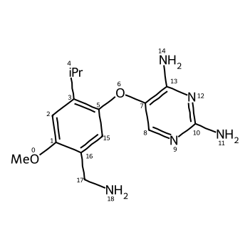 COc1cc(C(C)C)c(Oc2cnc(N)nc2N)cc1CN